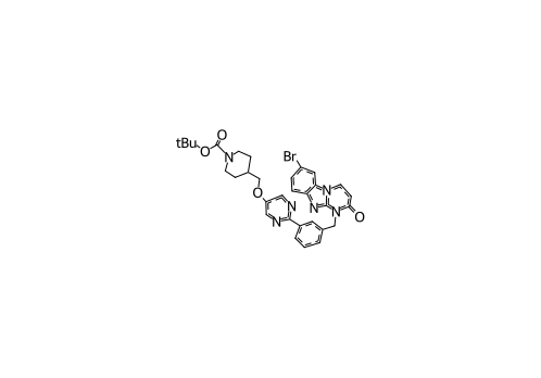 CC(C)(C)OC(=O)N1CCC(COc2cnc(-c3cccc(Cn4c(=O)ccn5c6cc(Br)ccc6nc45)c3)nc2)CC1